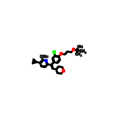 COc1nc(C(=CC2CCOCC2)c2ccc(OCCCO[Si](C)(C)C(C)(C)C)c(Cl)c2)ccc1C1CC1